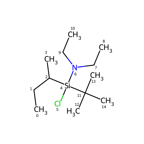 CCC(C)[Si](Cl)(N(CC)CC)C(C)(C)C